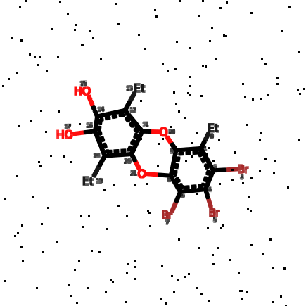 CCc1c(Br)c(Br)c(Br)c2c1Oc1c(CC)c(O)c(O)c(CC)c1O2